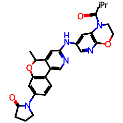 CC(C)C(=O)N1CCOc2ncc(Nc3cc4c(cn3)-c3ccc(N5CCCC5=O)cc3OC4C)cc21